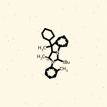 Cc1ccccc1N1C(C(C)(C)C)N2c3ccccc3C(C)(C3CCCCC3)C2[C@@H]1C